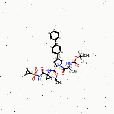 C=C[C@@H]1C[C@]1(NC(=O)[C@@H]1C[C@@H](c2ccc(-c3ccccc3)cc2)CN1C(=O)[C@@H](NC(=O)OC(C)(C)C(F)(F)F)C(C)(C)C)C(=O)NS(=O)(=O)C1CC1